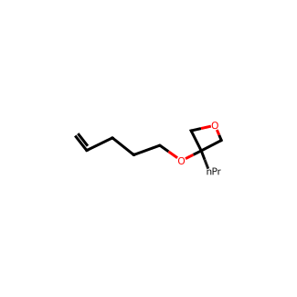 C=CCCCOC1(CCC)COC1